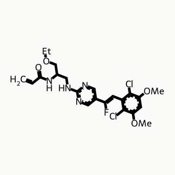 C=CC(=O)NC(CNc1ncc(/C(F)=C/c2c(Cl)c(OC)cc(OC)c2Cl)cn1)COCC